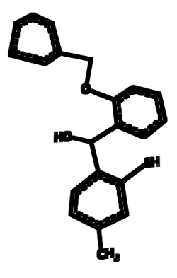 Cc1ccc(C(O)c2ccccc2OCc2ccccc2)c(S)c1